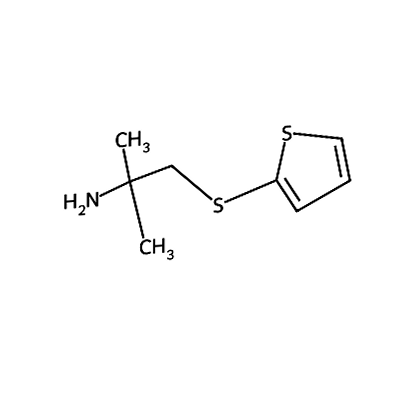 CC(C)(N)CSc1cccs1